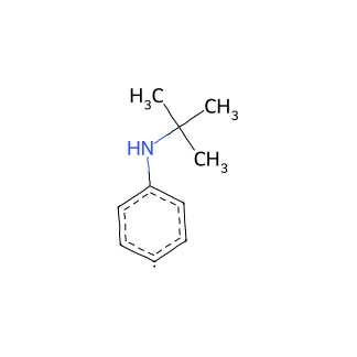 CC(C)(C)Nc1cc[c]cc1